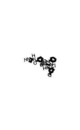 COc1ccc(Cl)c(Nc2nc3ccccc3nc2NS(=O)(=O)c2cccc(C(=O)NC3CCNC3)c2)c1